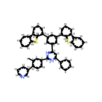 Cc1cc(-c2nc(-c3ccccc3)cc(-c3cc(-c4cccc5c4sc4ccccc45)cc(-c4cccc5c4sc4ccccc45)c3)n2)ccc1-c1cccnc1